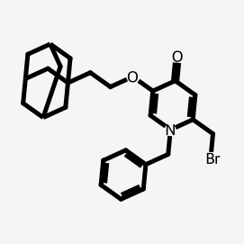 O=c1cc(CBr)n(Cc2ccccc2)cc1OCCC12CC3CC(CC(C3)C1)C2